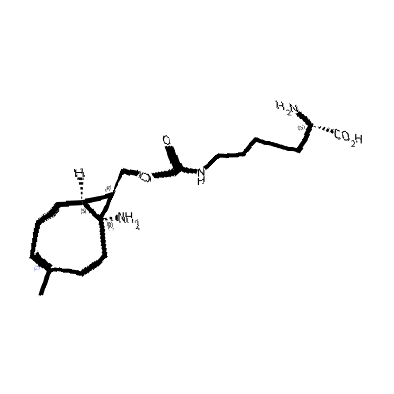 C/C1=C/CC[C@H]2[C@@H](COC(=O)NCCCC[C@H](N)C(=O)O)[C@@]2(N)CC1